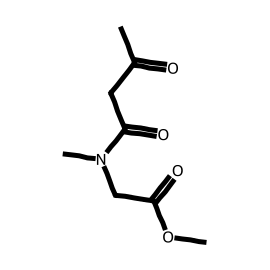 COC(=O)CN(C)C(=O)CC(C)=O